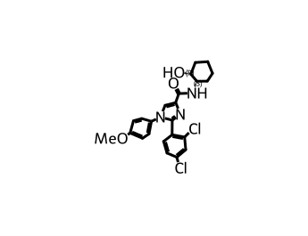 COc1ccc(-n2cc(C(=O)N[C@H]3CCCC[C@H]3O)nc2-c2ccc(Cl)cc2Cl)cc1